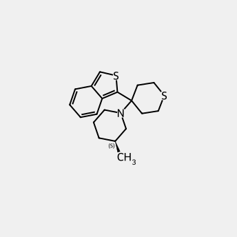 C[C@H]1CCCN(C2(c3scc4ccccc34)CCSCC2)C1